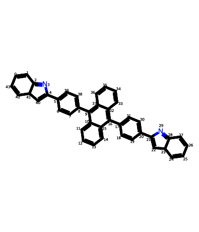 C1=CC2=NC(c3ccc(-c4c5ccccc5c(-c5ccc(C6=CC7C=CC=CC7=N6)cc5)c5ccccc45)cc3)=CC2C=C1